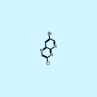 Clc1cnc2cc(Br)cnc2n1